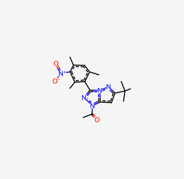 CC(=O)n1nc(-c2c(C)cc(C)c([N+](=O)[O-])c2C)n2nc(C(C)(C)C)cc12